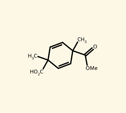 COC(=O)C1(C)C=CC(C)(C(=O)O)C=C1